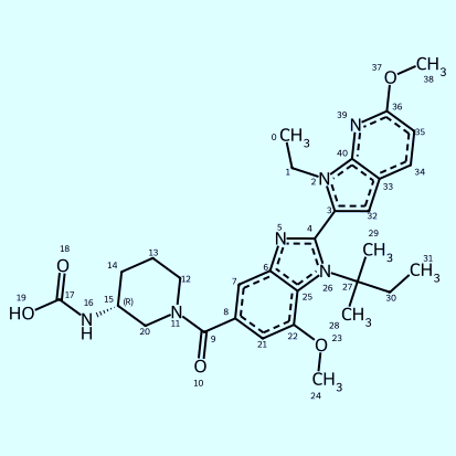 CCn1c(-c2nc3cc(C(=O)N4CCC[C@@H](NC(=O)O)C4)cc(OC)c3n2C(C)(C)CC)cc2ccc(OC)nc21